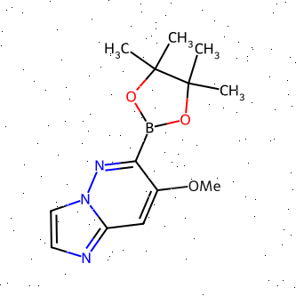 COc1cc2nccn2nc1B1OC(C)(C)C(C)(C)O1